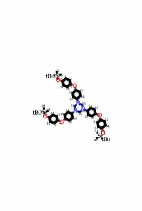 CC(C)(C)[Si](C)(C)Oc1ccc(Oc2ccc(N3CN(c4ccc(Oc5ccc(O[Si](C)(C)C(C)(C)C)cc5)cc4)CN(c4ccc(Oc5ccc(O[Si](C)(C)C(C)(C)C)cc5)cc4)C3)cc2)cc1